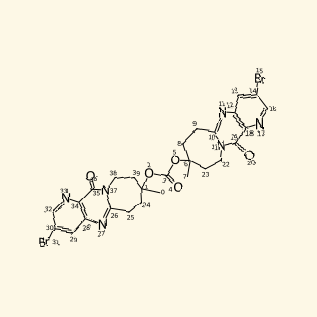 CC1(OC(=O)OC2(C)CCc3nc4cc(Br)cnc4c(=O)n3CC2)CCc2nc3cc(Br)cnc3c(=O)n2CC1